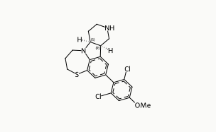 COc1cc(Cl)c(-c2cc3c4c(c2)[C@@H]2CNCC[C@@H]2N4CCCS3)c(Cl)c1